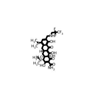 CN(C)c1cc(CNCC(F)(F)C(F)(F)F)c(O)c2c1C[C@H]1C[C@]3(C)[C@@H](N(C)C)C(O)=C(C(N)=O)C(=O)[C@@]3(O)C(O)=C1C2=O